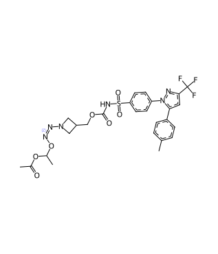 CC(=O)OC(C)O/N=N\N1CC(COC(=O)NS(=O)(=O)c2ccc(-n3nc(C(F)(F)F)cc3-c3ccc(C)cc3)cc2)C1